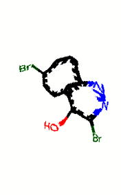 Oc1c(Br)nnc2ccc(Br)cc12